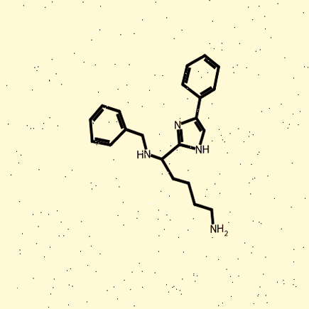 NCCCCC(NCc1ccccc1)c1nc(-c2ccccc2)c[nH]1